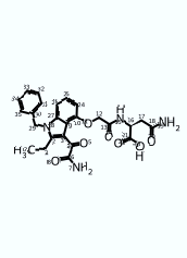 CCc1c(C(=O)C(N)=O)c2c(OCC(=O)N[C@@H](CC(N)=O)C(=O)O)cccc2n1Cc1ccccc1